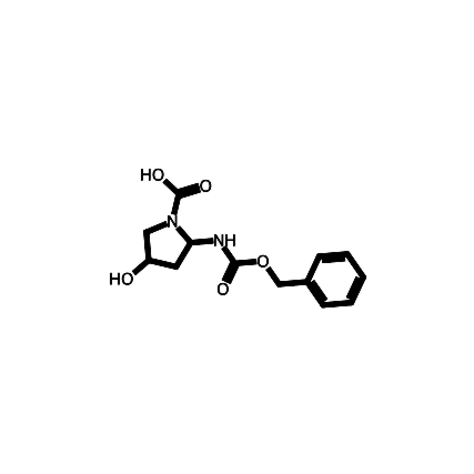 O=C(NC1CC(O)CN1C(=O)O)OCc1ccccc1